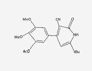 COc1cc(-c2cc(C(C)(C)C)[nH]c(=O)c2C#N)cc(OC(C)=O)c1OC